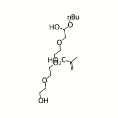 C=C(C)C(=O)O.CCCCOC(O)COCCOCCOCCO